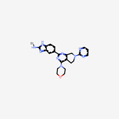 CCNc1nc2cc(-c3nc4c(c(N5CCOCC5)n3)CCN(c3ncccn3)C4)ccc2[nH]1